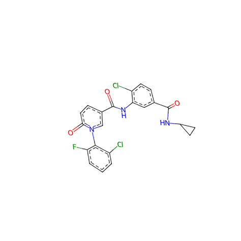 O=C(Nc1cc(C(=O)NC2CC2)ccc1Cl)c1ccc(=O)n(-c2c(F)cccc2Cl)c1